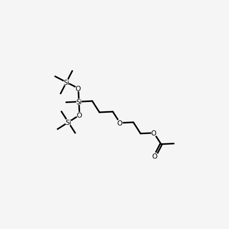 CC(=O)OCCOCCC[Si](C)(O[Si](C)(C)C)O[Si](C)(C)C